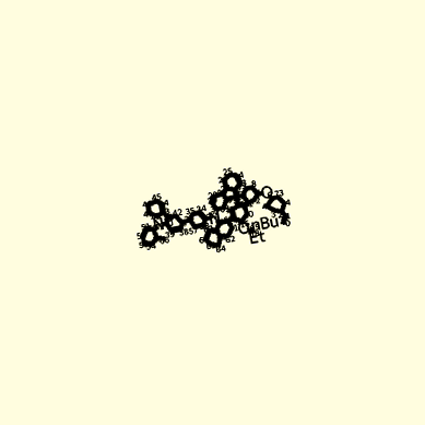 C=CC1CCC(OC2CCC(C3(C4C=CC(OC(CC)CCCC)CC4)C4C=CCCC4C4C=CC(N(C5=CCC(C6C=CC7C(C6)C6=CCCCC6N7C6C=CC=CC6C)CC5)C5CCCC6CCC=CC65)CC43)CC2)CC1